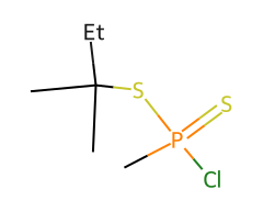 CCC(C)(C)SP(C)(=S)Cl